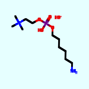 C[N+](C)(C)CCOP(=O)(O)OCCCCCCN.[OH-]